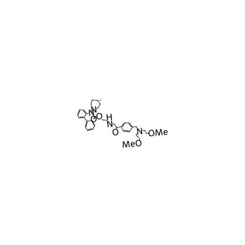 COCCN(CCOC)Cc1ccc(C(=O)CNCCOC(=O)N(c2ccccc2-c2ccccc2)N2CC[CH]CC2)cc1